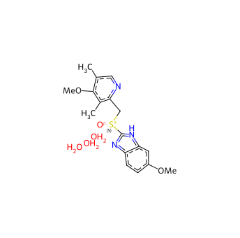 COc1ccc2nc([S@+]([O-])Cc3ncc(C)c(OC)c3C)[nH]c2c1.O.O.O